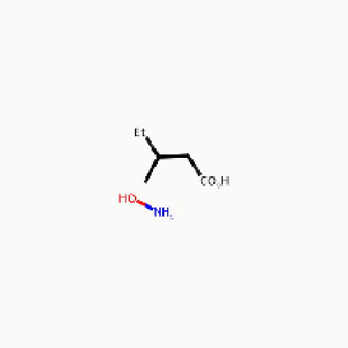 CCC(C)CC(=O)O.NO